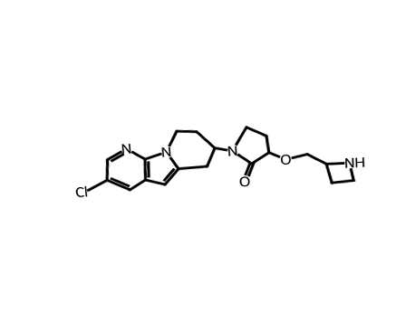 O=C1C(OCC2CCN2)CCN1C1CCn2c(cc3cc(Cl)cnc32)C1